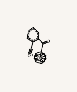 C#Cc1ccccc1C(=O)[C]12[CH]3[CH]4[CH]5[CH]1[Fe]45321678[CH]2[CH]1[CH]6[CH]7[CH]28